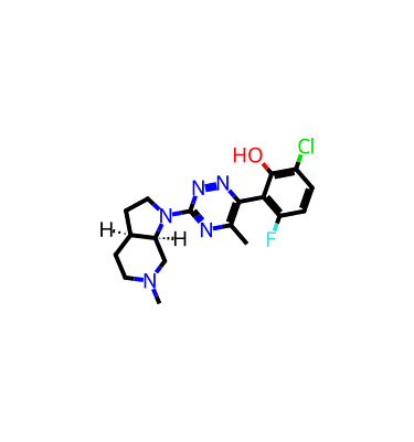 Cc1nc(N2CC[C@@H]3CCN(C)C[C@@H]32)nnc1-c1c(F)ccc(Cl)c1O